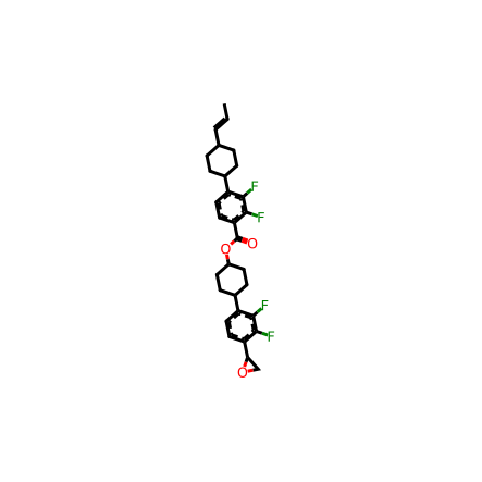 C/C=C/C1CCC(c2ccc(C(=O)OC3CCC(c4ccc(C5CO5)c(F)c4F)CC3)c(F)c2F)CC1